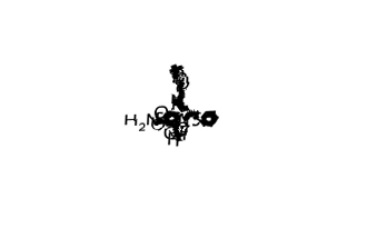 CN(CCO[Si](C)(C)C(C)(C)C)CC[C@H](CSc1ccccc1)Nc1ccc(S(N)(=O)=O)cc1S(=O)(=O)C(F)(F)F